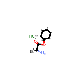 CC[C@H](N)C(=O)OC1CCCCC1.Cl